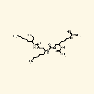 N=C(N)NCCCC(CNC(=O)NC(CCCCN)CNC(=O)NC(CN)CCCCN)NC(N)=O